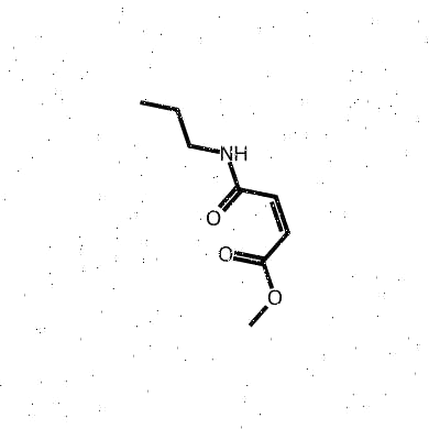 CCCNC(=O)/C=C\C(=O)OC